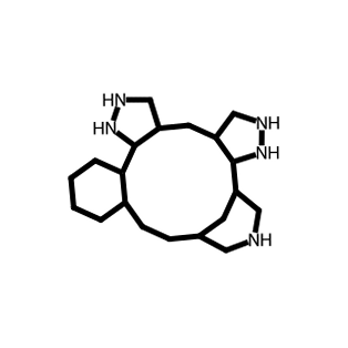 C1CCC2C(C1)CCC1CNCC(C1)C1NNCC1CC1CNNC12